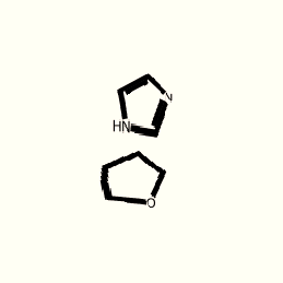 C1CCOC1.c1c[nH]cn1